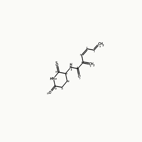 C=C/C=C\C(=C)C(=O)NC1CCC(=O)NC1=O